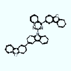 C1=Cc2c(oc3ccc(-c4nc(-n5c6c(c7c5CCC(C5=Cc8c(oc9ccccc89)CC5)=C7)C=CCC6)nc5ccccc45)cc23)CC1